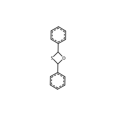 c1ccc(C2OC(c3ccccc3)S2)cc1